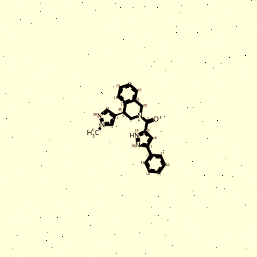 Cn1cc([C@@H]2CN(C(=O)c3cc(-c4ccccc4)n[nH]3)Cc3ccccc32)cn1